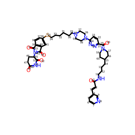 O=C(/C=C/c1cccnc1)NCCCCC1CCN(C(=O)c2ccc(N3CCN(CCCCCCSc4ccc5c(c4)C(=O)N(C4CCC(=O)NC4=O)C5=O)CC3)nn2)CC1